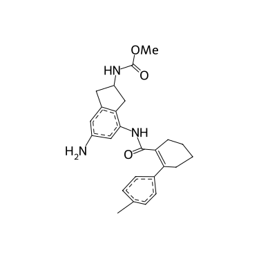 COC(=O)NC1Cc2cc(N)cc(NC(=O)C3=C(c4ccc(C)cc4)CCCC3)c2C1